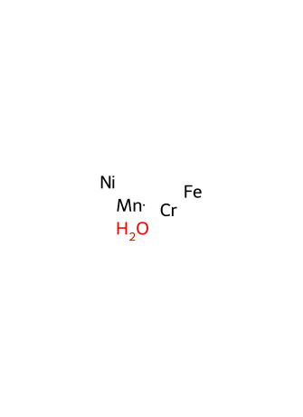 O.[Cr].[Fe].[Mn].[Ni]